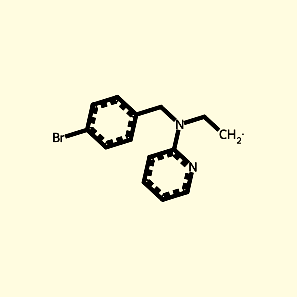 [CH2]CN(Cc1ccc(Br)cc1)c1ccccn1